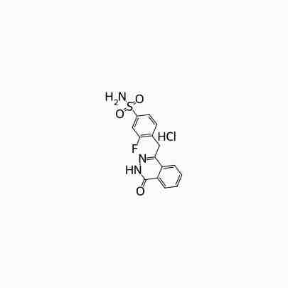 Cl.NS(=O)(=O)c1ccc(Cc2n[nH]c(=O)c3ccccc23)c(F)c1